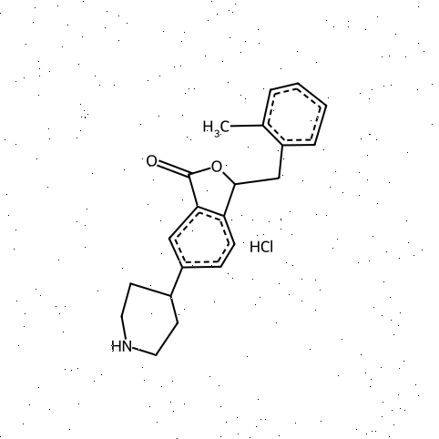 Cc1ccccc1CC1OC(=O)c2cc(C3CCNCC3)ccc21.Cl